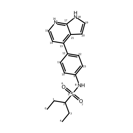 CCC(CC)S(=O)(=O)Nc1ccc(-c2ccnc3[nH]ccc23)cc1